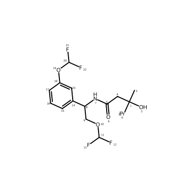 CC(C)C(C)(O)CC(=O)NC(COC(F)F)c1cccc(OC(F)F)c1